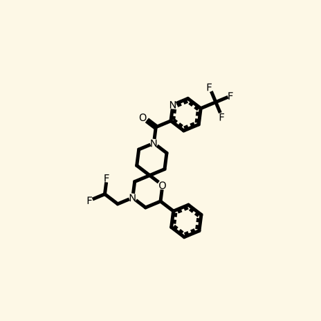 O=C(c1ccc(C(F)(F)F)cn1)N1CCC2(CC1)CN(CC(F)F)CC(c1ccccc1)O2